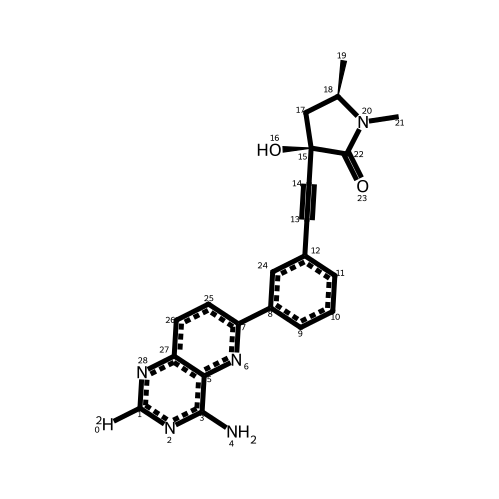 [2H]c1nc(N)c2nc(-c3cccc(C#C[C@]4(O)C[C@@H](C)N(C)C4=O)c3)ccc2n1